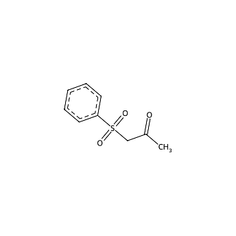 CC(=O)CS(=O)(=O)c1ccccc1